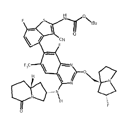 CCN(c1nc(OC[C@@]23CCCN2C[C@H](F)C3)nc2c(F)c(-c3ccc(F)c4sc(NC(=O)OC(C)(C)C)c(C#N)c34)c(C(F)(F)F)cc12)[C@H]1C[C@H]2CCCC(=O)N2C1